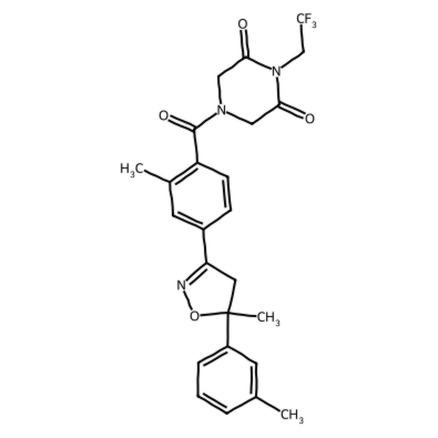 Cc1cccc(C2(C)CC(c3ccc(C(=O)N4CC(=O)N(CC(F)(F)F)C(=O)C4)c(C)c3)=NO2)c1